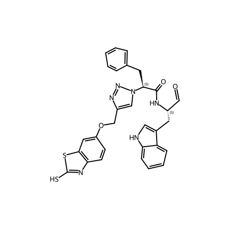 O=C[C@H](Cc1c[nH]c2ccccc12)NC(=O)[C@H](Cc1ccccc1)n1cc(COc2ccc3nc(S)sc3c2)nn1